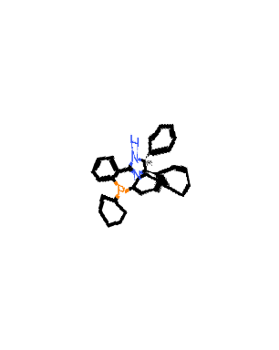 c1ccc([C@H]2N=C(c3ccccc3P(C3CCCCC3)C3CCCCC3)N[C@@H]2c2ccccc2)cc1